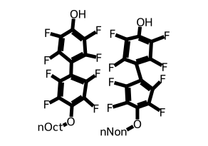 CCCCCCCCCOc1c(F)c(F)c(-c2c(F)c(F)c(O)c(F)c2F)c(F)c1F.CCCCCCCCOc1c(F)c(F)c(-c2c(F)c(F)c(O)c(F)c2F)c(F)c1F